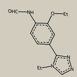 CCOc1cc(-c2nncn2CC)ccc1NC=O